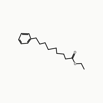 CCOC(=O)CCCCCCCCc1ccccc1